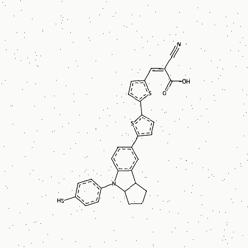 N#CC(=Cc1ccc(-c2ccc(-c3ccc4c(c3)C3CCCC3N4c3ccc(S)cc3)s2)s1)C(=O)O